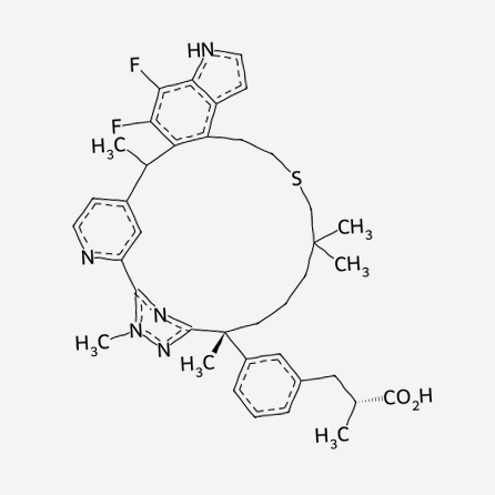 CC1c2ccnc(c2)-c2nc(nn2C)[C@@](C)(c2cccc(C[C@@H](C)C(=O)O)c2)CCCC(C)(C)CSCCc2c1c(F)c(F)c1[nH]ccc21